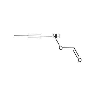 CC#CNOC=O